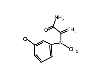 C=C(C(N)=O)N(C)c1cccc(Cl)c1